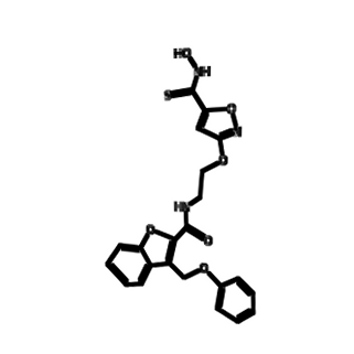 O=C(NCCOc1cc(C(=S)NO)on1)c1oc2ccccc2c1COc1ccccc1